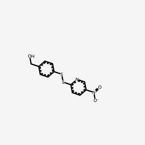 O=[N+]([O-])c1ccc(SSc2ccc(CO)cc2)nc1